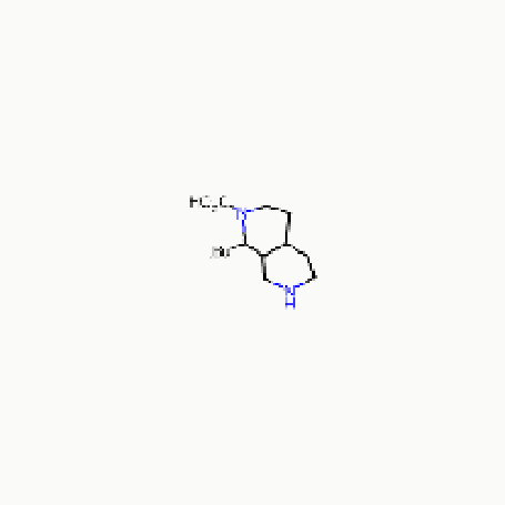 CC(C)(C)C1C2CNCCC2CCN1C(=O)O